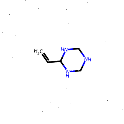 C=CC1NCNCN1